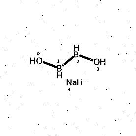 OBBO.[NaH]